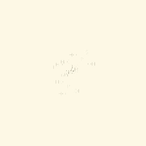 CC.CCCC.CNC.OP(O)(O)=S.OP(O)(O)=S